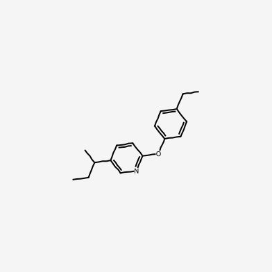 CCc1ccc(Oc2ccc(C(C)CC)cn2)cc1